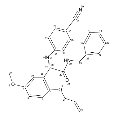 C=CCOc1ccc(OC)cc1[C@H](Nc1ccc(C#N)cc1)C(=O)NCc1ccccc1